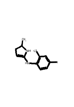 CC1CC=C(Nc2ccc(I)cc2Cl)N1